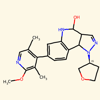 COc1ncc(C)c(-c2ccc3c(c2)NC(O)C2C=NN([C@H]4CCOC4)C32)c1C